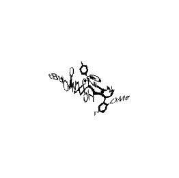 COc1ccc(F)cc1-c1ccnc2c1cc(C1(O)CC3(CN(C(=O)OC(C)(C)C)C3)C1)n2S(=O)(=O)c1ccc(C)cc1